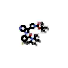 CC(C)N(C(=O)c1cc(F)ccc1-n1cc(C2CCN(C(=O)OC(C)(C)C)C2)c2ccncc21)C(C)C